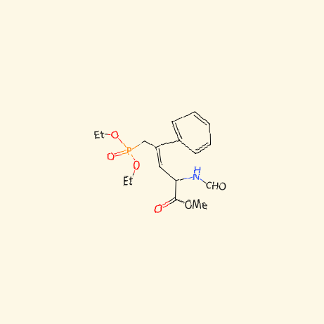 CCOP(=O)(C/C(=C/C(NC=O)C(=O)OC)c1ccccc1)OCC